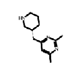 Cc1cc(C[C@H]2CCCNC2)nc(C)n1